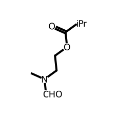 CC(C)C(=O)OCCN(C)C=O